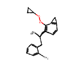 [CH2]c1ccccc1CC(CCC)c1ccc2c(c1OOC1CC1)C2